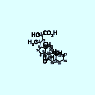 CC(CC(O)C(=O)O)[C@H]1CC[C@H]2[C@@H]3C(=O)CC4CCCC[C@]4(C)[C@H]3CC[C@]12C